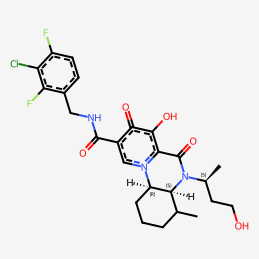 CC1CCC[C@@H]2[C@H]1N([C@@H](C)CCO)C(=O)c1c(O)c(=O)c(C(=O)NCc3ccc(F)c(Cl)c3F)cn12